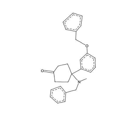 CN(Cc1ccccc1)C1(c2cccc(OCc3ccccc3)c2)CCC(=O)CC1